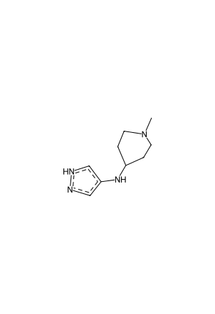 CN1CCC(Nc2cn[nH]c2)CC1